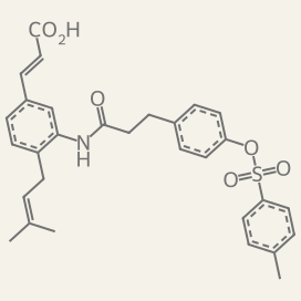 CC(C)=CCc1ccc(/C=C/C(=O)O)cc1NC(=O)CCc1ccc(OS(=O)(=O)c2ccc(C)cc2)cc1